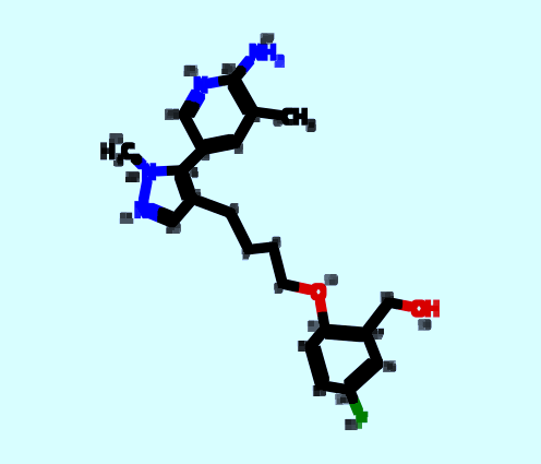 Cc1cc(-c2c(CCCCOc3ccc(F)cc3CO)cnn2C)cnc1N